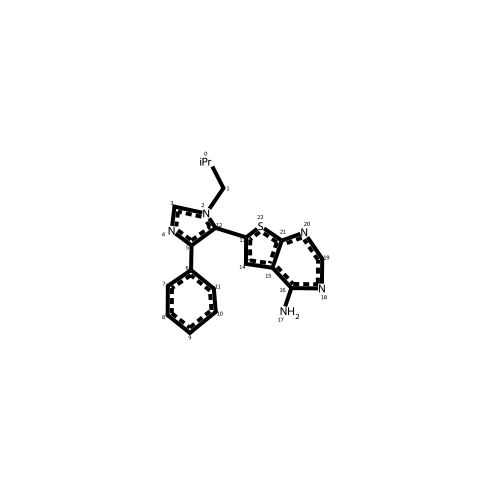 CC(C)Cn1cnc(-c2ccccc2)c1-c1cc2c(N)ncnc2s1